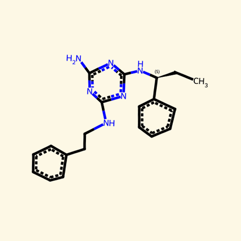 CC[C@H](Nc1nc(N)nc(NCCc2ccccc2)n1)c1ccccc1